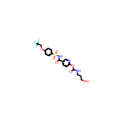 O=C(NCCCO)Oc1ccc(C(=O)NS(=O)(=O)c2ccc(OCC(F)(F)F)cc2)cn1